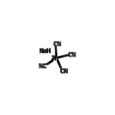 N#[C][Zn]([C]#N)([C]#N)[C]#N.[NaH]